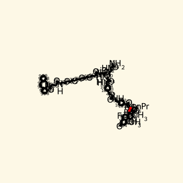 CCCC1O[C@@H]2C[C@H]3[C@@H]4C[C@H](F)C5=CC(=O)C=C[C@]5(C)[C@@]4(F)[C@@H](O)C[C@]3(C)[C@]2(C(=O)COC(=O)c2ccc(CNC(=O)OCc3ccc(NC(=O)[C@H](CCCNC(N)=O)NC(=O)[C@@H](NC(=O)CCOCCOCCOCCOCCNC(=O)CCC(=O)N4Cc5ccccc5C#Cc5ccccc54)C(C)C)cc3)cc2)O1